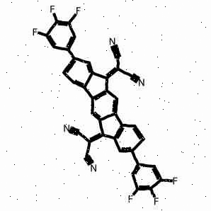 N#CC(C#N)=C1c2cc(-c3cc(F)c(F)c(F)c3)ccc2-c2cc3c(cc21)-c1ccc(-c2cc(F)c(F)c(F)c2)cc1C3=C(C#N)C#N